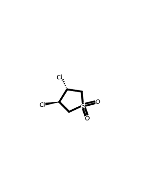 O=S1(=O)C[C@@H](Cl)[C@H](Cl)C1